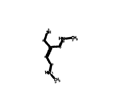 CNC/C=C(/CS)CNC